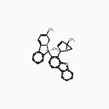 CC1=CC=C2c3ccccc3[C@](C)(c3ccc4c(oc5ccccc54)c3C3C=CC4(C)CN34)N2C1